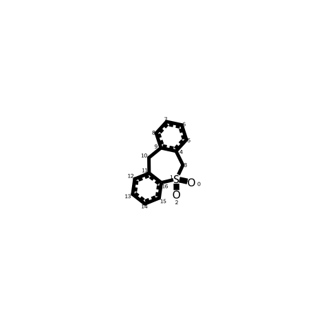 O=S1(=O)Cc2ccccc2Cc2ccccc21